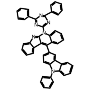 c1ccc(-c2nc(-c3ccccc3)nc(-n3c4nc5ccccc5c-4c(-c4ccc5c(c4)c4ccccc4n5-c4ccccc4)c4ccccc43)n2)cc1